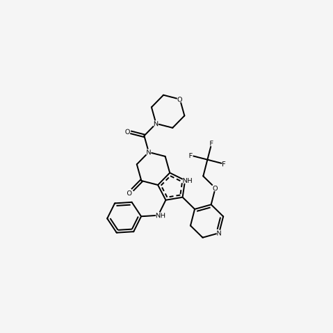 O=C1CN(C(=O)N2CCOCC2)Cc2[nH]c(C3=C(OCC(F)(F)F)C=NCC3)c(NC3=C=C=CC=C3)c21